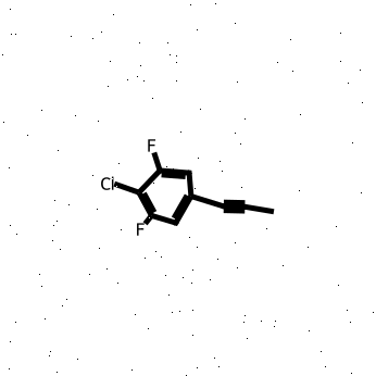 CC#Cc1cc(F)c(Cl)c(F)c1